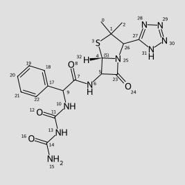 CC1(C)S[C@H]2C(NC(=O)C(NC(=O)NC(N)=O)c3ccccc3)C(=O)N2C1c1nnn[nH]1